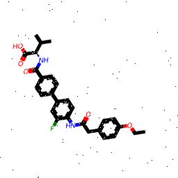 CCOc1ccc(CC(=O)Nc2ccc(-c3ccc(C(=O)N[C@H](C(=O)O)C(C)C)cc3)cc2F)cc1